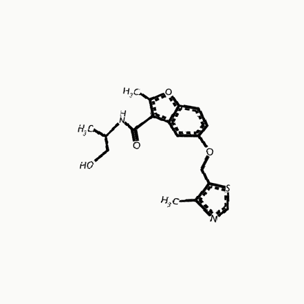 Cc1ncsc1COc1ccc2oc(C)c(C(=O)NC(C)CO)c2c1